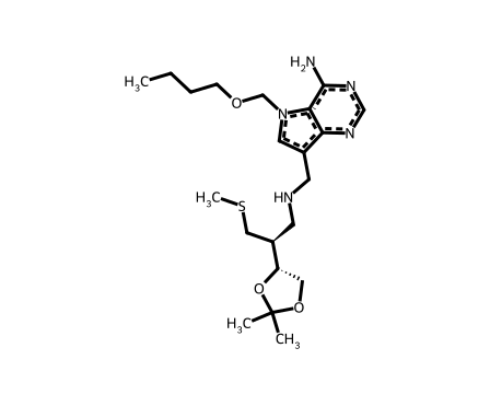 CCCCOCn1cc(CNC[C@H](CSC)[C@@H]2COC(C)(C)O2)c2ncnc(N)c21